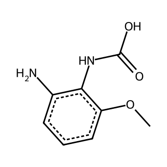 COc1cccc(N)c1NC(=O)O